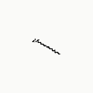 CCCCCCCCCCCCCCCCC[N+](C)(C)CC